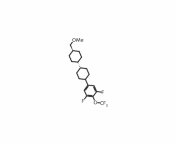 COC[C@H]1CC[C@H](C2CCC(c3cc(F)c(OC(F)(F)F)c(F)c3)CC2)CC1